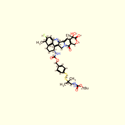 CC[C@@]1(O)C(=O)OCc2c1cc1n(c2=O)Cc2c-1nc1cc(F)c(C)c3c1c2[C@@H](NC(=O)OCc1ccc(SSC(C)(C)CNC(=O)OC(C)(C)C)cc1)CC3